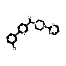 O=C(c1ccc(-c2cccc(Cl)c2)nc1)N1CCN(c2ncccn2)CC1